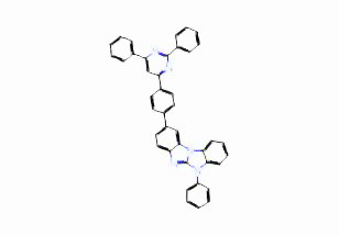 c1ccc(-c2cc(-c3ccc(-c4ccc5nc6n(-c7ccccc7)c7ccccc7n6c5c4)cc3)nc(-c3ccccc3)n2)cc1